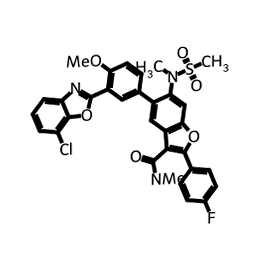 CNC(=O)c1c(-c2ccc(F)cc2)oc2cc(N(C)S(C)(=O)=O)c(-c3ccc(OC)c(-c4nc5cccc(Cl)c5o4)c3)cc12